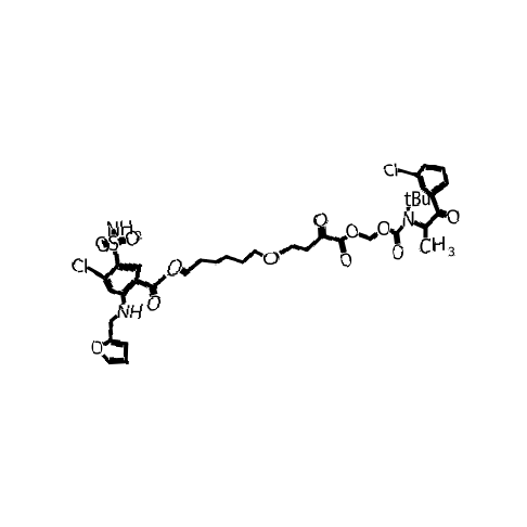 CC(C(=O)c1cccc(Cl)c1)N(C(=O)OCOC(=O)C(=O)CCOCCCCCCOC(=O)c1cc(S(N)(=O)=O)c(Cl)cc1NCc1ccco1)C(C)(C)C